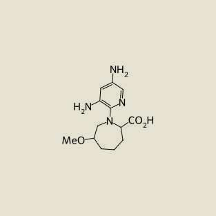 COC1CCCC(C(=O)O)N(c2ncc(N)cc2N)C1